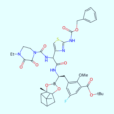 CCN1CCN(C(=O)NC(C(=O)N[C@@H](Cc2cc(F)cc(C(=O)OC(C)(C)C)c2OC)B2OC3CC4CC(C4(C)C)[C@]3(C)O2)c2csc(NC(=O)OCc3ccccc3)n2)C(=O)C1=O